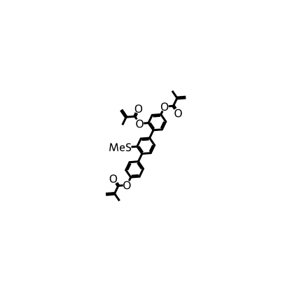 C=C(C)C(=O)Oc1ccc(-c2ccc(-c3ccc(OC(=O)C(=C)C)cc3OC(=O)C(=C)C)cc2SC)cc1